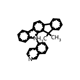 CC1(C)c2ccccc2-c2ccc3c4ccccc4n(-c4cccc5cnccc45)c3c21